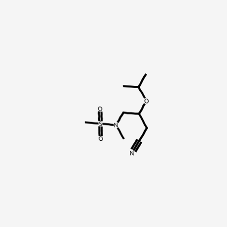 CC(C)OC(CC#N)CN(C)S(C)(=O)=O